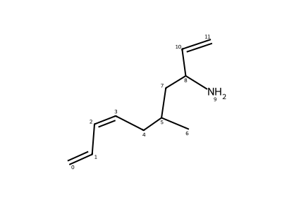 C=C/C=C\CC(C)CC(N)C=C